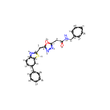 O=C(Cc1nnc(Cc2nc3ccc(-c4ccccc4)cc3s2)o1)NCc1ccccc1